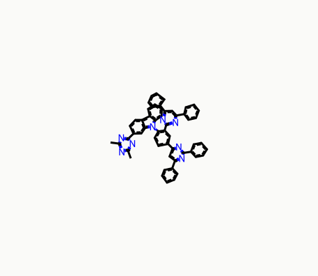 Cc1nc(C)nc(-c2ccc3c4ccccc4n(-c4ccc(-c5cc(-c6ccccc6)nc(-c6ccccc6)n5)cc4-c4nc(-c5ccccc5)cc(-c5ccccc5)n4)c3c2)n1